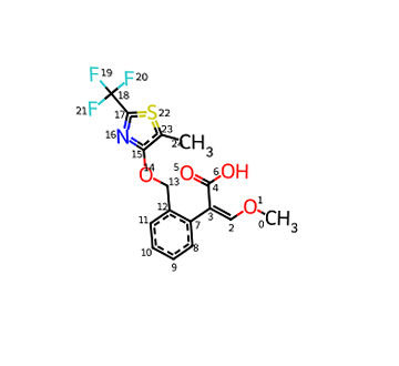 COC=C(C(=O)O)c1ccccc1COc1nc(C(F)(F)F)sc1C